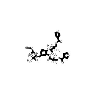 CC(C)(C)OC(=O)N[C@@H](Cc1ccc(OC(=O)C(C)(C)COC(=O)c2ccsc2)c(OC(=O)C(C)(C)COC(=O)c2ccsc2)c1)C(C)(O)O